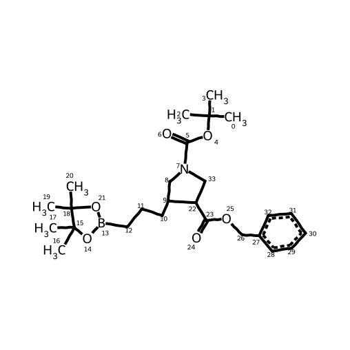 CC(C)(C)OC(=O)N1CC(CCCB2OC(C)(C)C(C)(C)O2)C(C(=O)OCc2ccccc2)C1